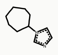 c1cn(C2CCCCCC2)cn1